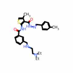 CCN(CC)CCNCc1cccc(C(=O)Nc2scc(C)c2C(=O)N/N=C/c2ccc(C)cc2)c1